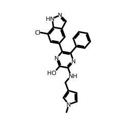 Cn1ccc(CNc2nc(-c3ccccc3)c(-c3cc(Cl)c4[nH]ncc4c3)nc2O)c1